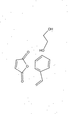 C=Cc1ccccc1.O=C1C=CC(=O)O1.OCCO